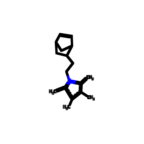 C=c1c(C)c(C)c(=C)n1CCC1CC2C=CC1C2